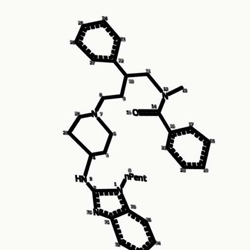 CCCCCn1c(NC2CCN(CCC(CN(C)C(=O)c3ccccc3)c3ccccc3)CC2)nc2ccccc21